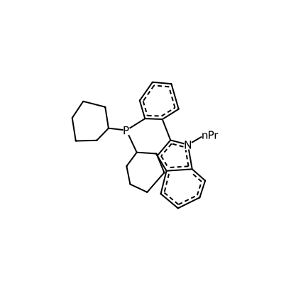 CCCn1c(-c2ccccc2P(C2CCCCC2)C2CCCCC2)cc2ccccc21